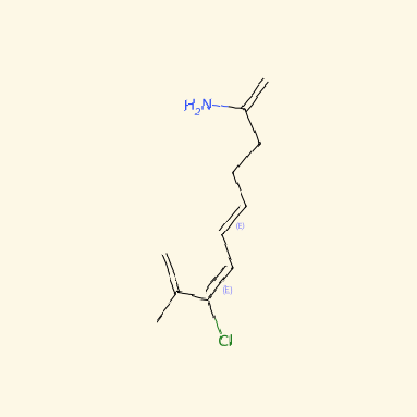 C=C(N)CC/C=C/C=C(/Cl)C(=C)C